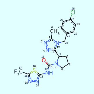 Cc1nnc([C@H]2CCCN2C(=O)Nc2nnc(C(F)(F)F)s2)n1Cc1ccc(Cl)cc1